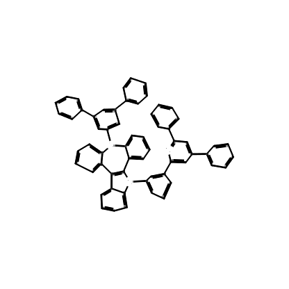 c1ccc(-c2cc(-c3ccccc3)cc(N3c4ccccc4-c4c(n(-c5cccc(-c6cc(-c7ccccc7)cc(-c7ccccc7)n6)c5)c5ccccc45)-c4ccccc43)c2)cc1